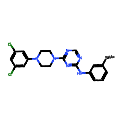 CC(=O)Nc1cccc(Nc2ncnc(N3CCN(c4cc(Cl)cc(Cl)c4)CC3)n2)c1